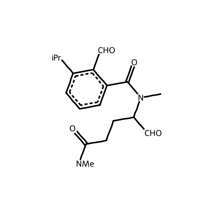 CNC(=O)CCC(C=O)N(C)C(=O)c1cccc(C(C)C)c1C=O